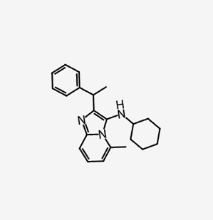 Cc1cccc2nc(C(C)c3ccccc3)c(NC3CCCCC3)n12